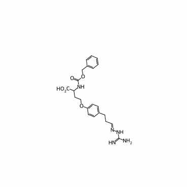 N=C(N)N/N=C/CCc1ccc(OCCC(NC(=O)OCc2ccccc2)C(=O)O)cc1